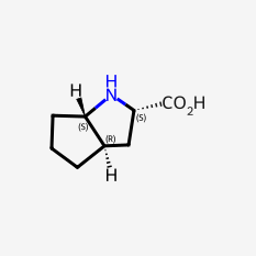 O=C(O)[C@@H]1C[C@H]2CCC[C@@H]2N1